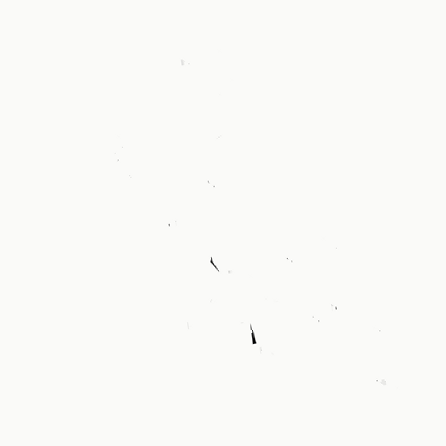 C=NC[C@@]1(c2ccc3c(N)ncnn23)O[C@H](COP(=O)(NCCc2c[nH]c3ccccc23)OCc2ccccc2)[C@@H](O)[C@@H]1C